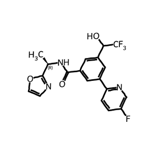 C[C@@H](NC(=O)c1cc(-c2ccc(F)cn2)cc(C(O)C(F)(F)F)c1)c1ncco1